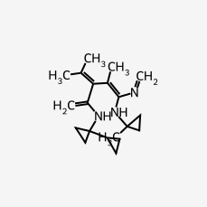 C=N/C(NC1(C)CC1)=C(\C)C(C(=C)NC1(C2CC2)CC1)=C(C)C